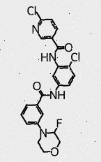 O=C(Nc1ccc(Cl)c(NC(=O)c2ccc(Cl)nc2)c1)c1cccc(N2CCOCC2F)c1